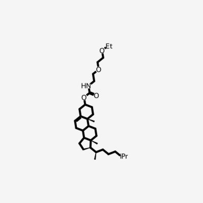 [CH2]COCCOCCNC(=O)OC1CC[C@@]2(C)C(=CCC3C2CC[C@@]2(C)C3CC[C@@H]2[C@H](C)CCCC(C)C)C1